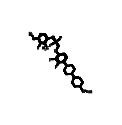 CCCCCC1CCC(C2CCC(c3ccc(OCC(F)(F)Oc4ccc(OCC)c(F)c4C)c(F)c3F)CC2)CC1